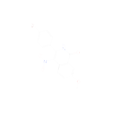 COc1ccc2c([N+](=O)[O-])c(-c3ccc(Br)cc3)[nH]c(=O)c2c1